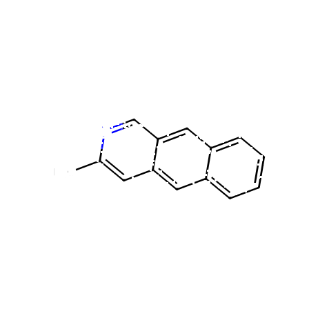 Cc1cc2cc3ccccc3cc2cn1